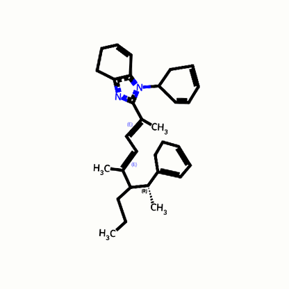 CCCC(/C(C)=C/C=C(\C)c1nc2c(n1C1C=CC=CC1)C=CCC2)[C@@H](C)C1=CC=CCC1